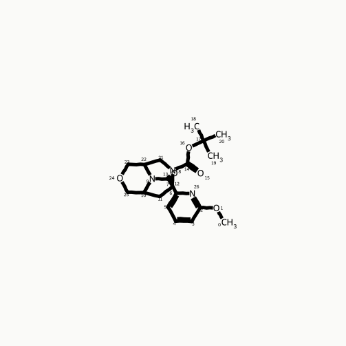 COc1cccc(C(=O)N2C3CCN(C(=O)OC(C)(C)C)CC2COC3)n1